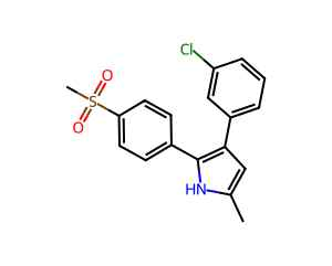 Cc1cc(-c2cccc(Cl)c2)c(-c2ccc(S(C)(=O)=O)cc2)[nH]1